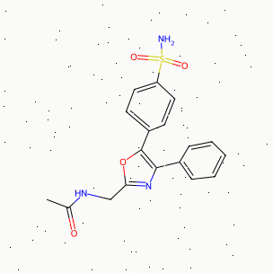 CC(=O)NCc1nc(-c2ccccc2)c(-c2ccc(S(N)(=O)=O)cc2)o1